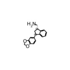 NC[C@H]1C[C@H](c2ccc3c(c2)OCO3)c2ccccc21